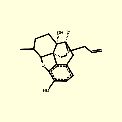 C=CCN1CC[C@]23c4c5ccc(O)c4OC2C(C)CC[C@@]3(O)[C@H]1C5